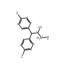 Fc1ccc(C(c2ccc(F)cc2)C(Cl)[SiH2]Cl)cc1